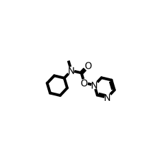 CN(C(=O)ON1C=NC=CC1)C1CCCCC1